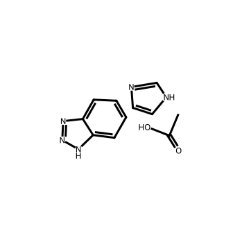 CC(=O)O.c1c[nH]cn1.c1ccc2[nH]nnc2c1